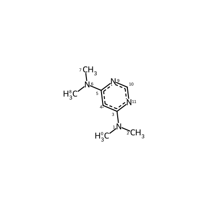 CN(C)c1[c]c(N(C)C)ncn1